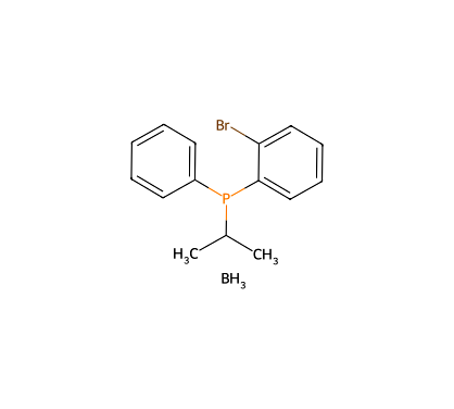 B.CC(C)P(c1ccccc1)c1ccccc1Br